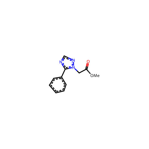 COC(=O)Cn1ncnc1-c1ccccc1